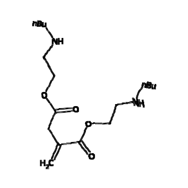 C=C(CC(=O)OCCNCCCC)C(=O)OCCNCCCC